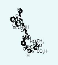 CCC(C)(C)C(=O)C(=O)N1CCCC[C@H]1C(=O)O[C@H](CCc1cccnc1)COCCNC(=O)CCCS(=O)(=O)NC(=O)c1cccc(NC(=O)[C@@H]2C[C@H](SC3=C(C(=O)O)N4C(=O)[C@H]([C@@H](C)O)[C@H]4[C@H]3C)CN2)c1